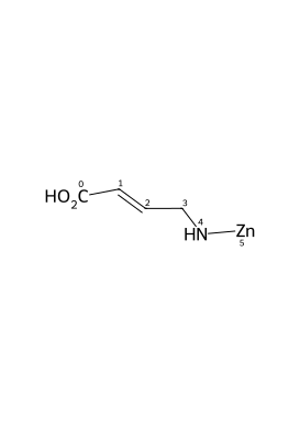 O=C(O)C=CC[NH][Zn]